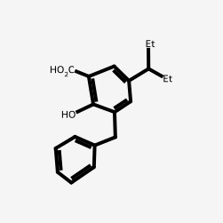 CCC(CC)c1cc(Cc2ccccc2)c(O)c(C(=O)O)c1